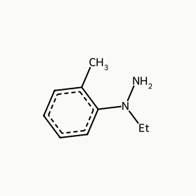 CCN(N)c1ccccc1C